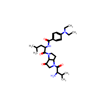 CCN(CC)c1ccc(C(=O)NC(CC(C)C)C(=O)N2CCC3C2C(=O)CN3C(=O)C(N)C(C)C)cc1